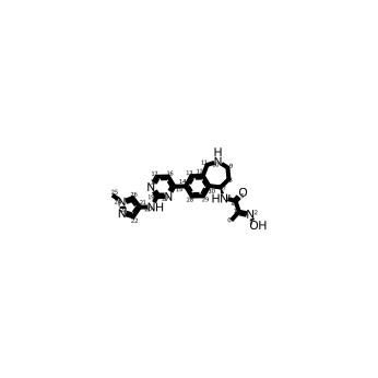 C/C(=N\O)C(=O)N[C@@H]1CCNCc2cc(-c3ccnc(Nc4cnn(C)c4)n3)ccc21